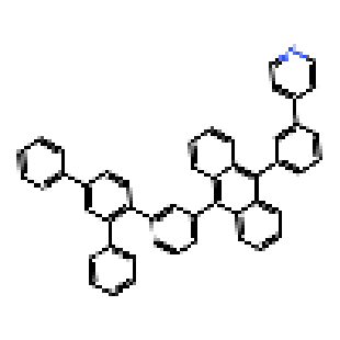 c1ccc(-c2ccc(-c3cccc(-c4c5ccccc5c(-c5cccc(-c6ccncc6)c5)c5ccccc45)c3)c(-c3ccccc3)c2)cc1